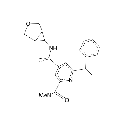 CNC(=O)c1cc(C(=O)NC2C3COCC32)cc(C(C)c2ccccc2)n1